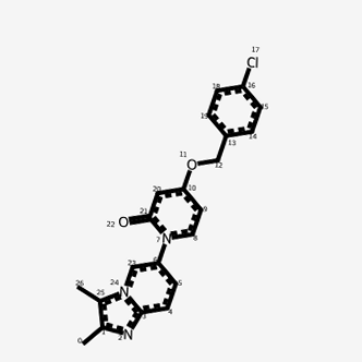 Cc1nc2ccc(-n3ccc(OCc4ccc(Cl)cc4)cc3=O)cn2c1C